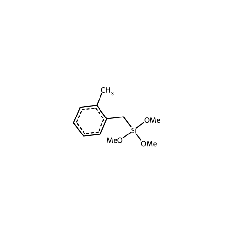 CO[Si](Cc1ccccc1C)(OC)OC